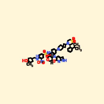 CC(C)c1ccccc1[C@@H]1CS(=O)(=O)CCN1C1CC2(CCN(c3ccc(C(=O)NS(=O)(=O)c4ccc(NCC5CCC(C)(O)CC5)c([N+](=O)[O-])c4)c(N4c5cc6cc[nH]c6nc5O[C@H]5COCC[C@@H]54)c3)CC2)C1